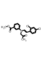 COC(=O)c1cccc(N(C=Cc2ccc(Cl)cc2Cl)CC(C)=O)c1